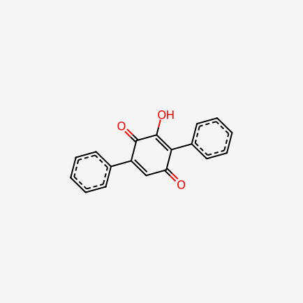 O=C1C=C(c2ccccc2)C(=O)C(O)=C1c1ccccc1